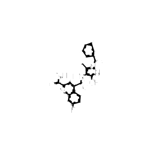 Cc1c(NC(=O)c2cc(C(N)=O)nc3cc(F)ccc23)c(C(F)(F)F)nn1[C@@H](C)c1ccccc1